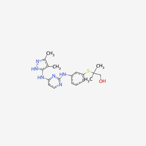 Cc1n[nH]c(Nc2ccnc(Nc3cccc(SC(C)(C)CO)c3)n2)c1C